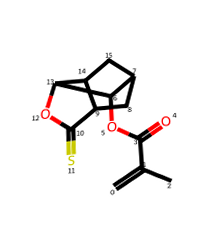 C=C(C)C(=O)OC1C2CC3C(=S)OC1C3C2